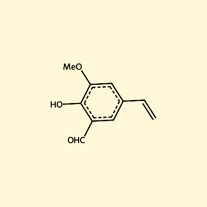 C=Cc1cc(C=O)c(O)c(OC)c1